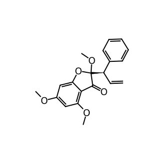 C=C[C@H](c1ccccc1)C1(OC)Oc2cc(OC)cc(OC)c2C1=O